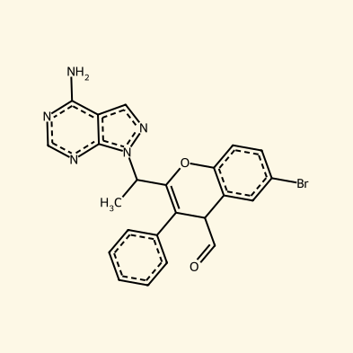 CC(C1=C(c2ccccc2)C(C=O)c2cc(Br)ccc2O1)n1ncc2c(N)ncnc21